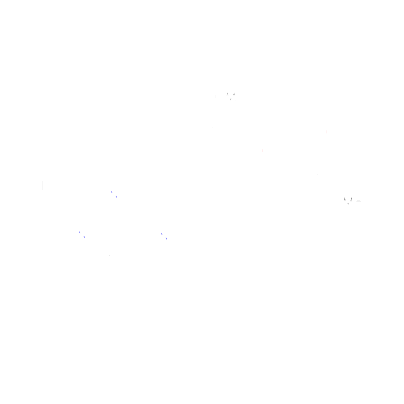 CCc1nc2c(C)cc(C)nc2n1Cc1ccc(OC(C(=O)OC)c2ccccc2)c(OC)c1